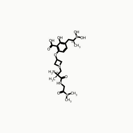 C[C@@H](Cc1ccc(OC2CN(C[C@@](C)(N)C(=O)NCC(=O)N(C)C)C2)c(C(=O)O)c1O)B(O)O